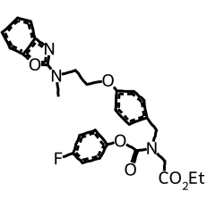 CCOC(=O)CN(Cc1ccc(OCCN(C)c2nc3ccccc3o2)cc1)C(=O)Oc1ccc(F)cc1